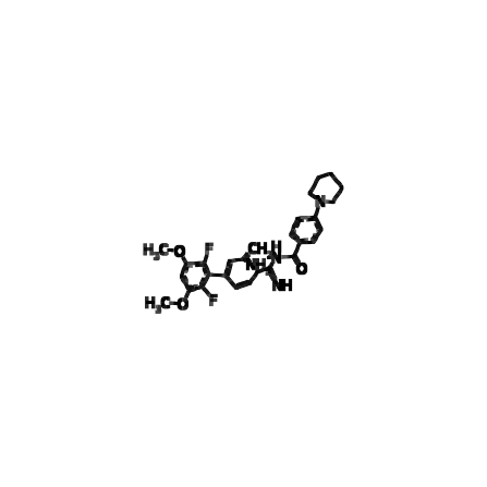 C=C(N)/C=C(\C=C/CC(=N)NC(=O)c1ccc(N2CCCCC2)cc1)c1c(F)c(OC)cc(OC)c1F